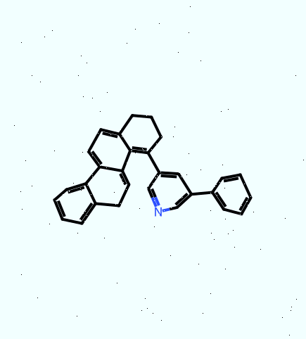 C1=c2c(ccc3c2=C(c2cncc(-c4ccccc4)c2)CCC3)-c2ccccc2C1